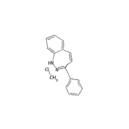 C1=Cc2ccccc2NN=C1c1ccccc1.CCl